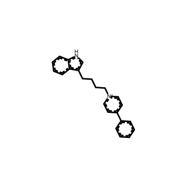 c1ccc(-c2cc[n+](CCCCc3c[nH]c4ccccc34)cc2)cc1